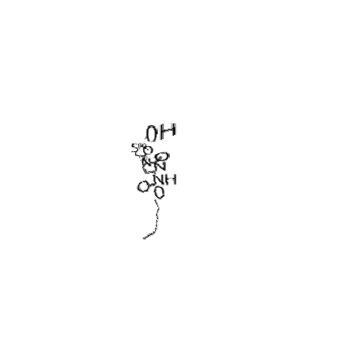 CCCCCOC(=O)Nc1ccn([C@@H]2CS[C@H](CO)O2)c(=O)n1